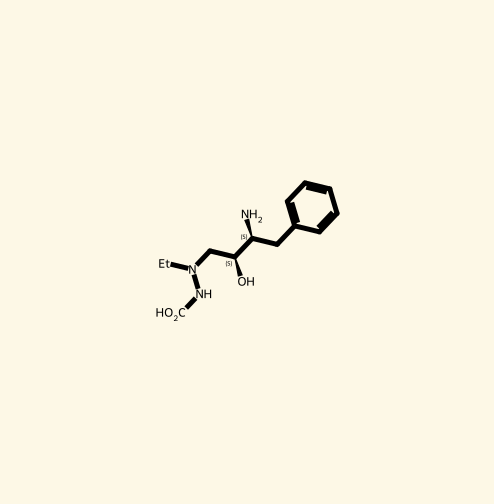 CCN(C[C@H](O)[C@@H](N)Cc1ccccc1)NC(=O)O